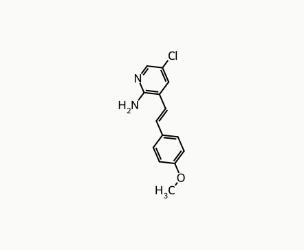 COc1ccc(C=Cc2cc(Cl)cnc2N)cc1